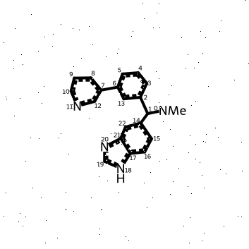 CNC(c1cccc(-c2cccnc2)c1)c1ccc2[nH]cnc2c1